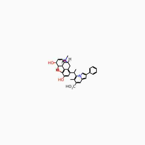 Cc1c(C(=O)O)cc2cc(-c3ccccc3)cn2c1C(C)c1cc(O)c2c3c1C[C@@H]1[C@@H]4C=C[C@H](O)[C@H](O2)[C@]34CCN1C